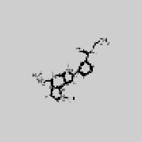 CCOC(=O)c1cccc(-c2cc3c(nc(NC)c4ncn(C)c43)[nH]2)c1